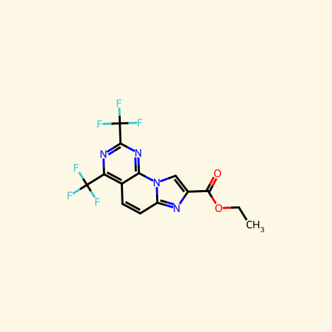 CCOC(=O)c1cn2c(ccc3c(C(F)(F)F)nc(C(F)(F)F)nc32)n1